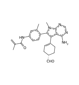 C=C(C)C(=O)Nc1ccc(-c2c(C3=CC[C@@H](C=O)CC3)c3c(N)ncnc3n2C)c(C)c1